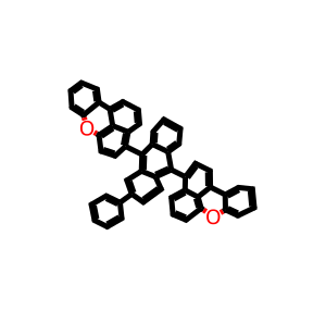 c1ccc(-c2ccc3c(-c4ccc5c6c(cccc46)Oc4ccccc4-5)c4ccccc4c(-c4ccc5c6c(cccc46)-c4ccccc4O5)c3c2)cc1